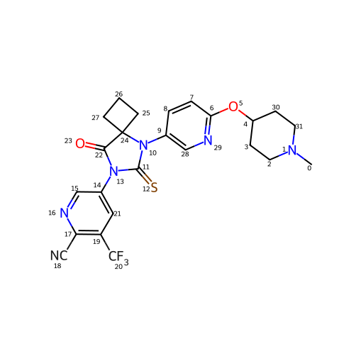 CN1CCC(Oc2ccc(N3C(=S)N(c4cnc(C#N)c(C(F)(F)F)c4)C(=O)C34CCC4)cn2)CC1